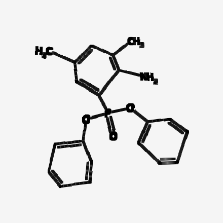 Cc1cc(C)c(N)c(P(=O)(Oc2ccccc2)Oc2ccccc2)c1